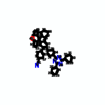 N#Cc1ccc(-c2cc3c(cc2-c2ccc(-c4nc(-c5ccccc5)nc(-c5ccccc5)n4)cc2)-c2ccccc2C32c3ccccc3Oc3ccccc32)cc1